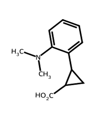 CN(C)c1ccccc1C1CC1C(=O)O